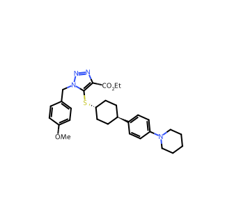 CCOC(=O)c1nnn(Cc2ccc(OC)cc2)c1S[C@H]1CC[C@H](c2ccc(N3CCCCC3)cc2)CC1